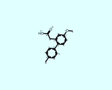 COc1ccc(-c2ccc(C)cc2)c(CC(=O)O)c1